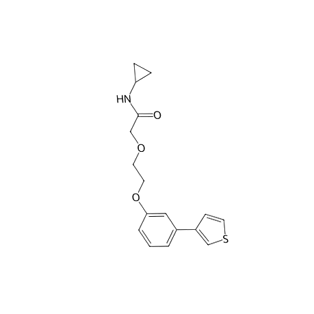 O=C(COCCOc1cccc(-c2ccsc2)c1)NC1CC1